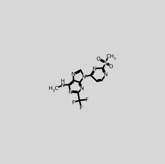 CNc1nc(C(F)(F)F)nc2c1ncn2-c1ccnc(S(C)(=O)=O)n1